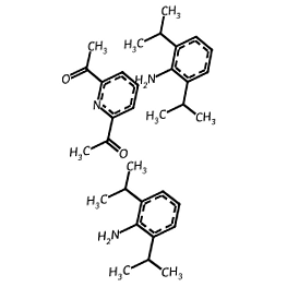 CC(=O)c1cccc(C(C)=O)n1.CC(C)c1cccc(C(C)C)c1N.CC(C)c1cccc(C(C)C)c1N